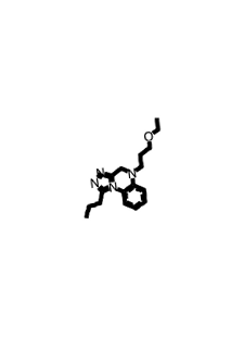 CCCc1nnc2n1-c1ccccc1N(CCCOCC)C2